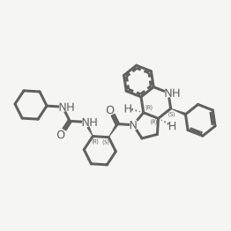 O=C(NC1CCCCC1)N[C@@H]1CCCC[C@@H]1C(=O)N1CC[C@@H]2[C@H](C3C=CC=CC3)Nc3ccccc3[C@@H]21